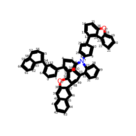 c1cc(-c2ccc(N(c3ccc(-c4cccc5oc6ccccc6c45)cc3)c3ccccc3-c3ccc4oc5cc6ccccc6cc5c4c3)cc2)cc(-c2cccc3ccccc23)c1